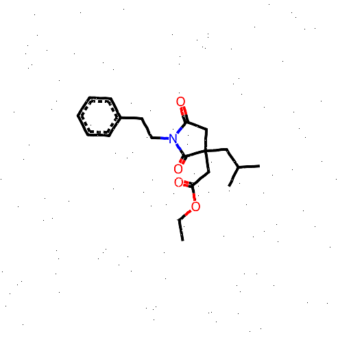 CCOC(=O)CC1(CC(C)C)CC(=O)N(CCc2ccccc2)C1=O